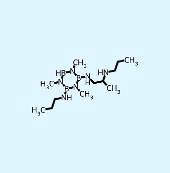 CCCNB1N(C)BN(C)B(NCC(C)NCCC)N1C